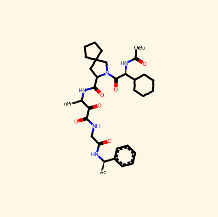 CCCC(NC(=O)C1CC2(CCCC2)CN1C(=O)[C@@H](NC(=O)OCC(C)C)C1CCCCC1)C(=O)C(=O)NCC(=O)N[C@H](C(C)=O)c1ccccc1